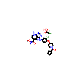 CON(C)C(=O)C1=Cc2c(ncnc2Nc2ccc(OC3CCN(C(=O)C4CCCC4)CC3)c(Cl)c2)NCC1.O=C(O)C(F)(F)F